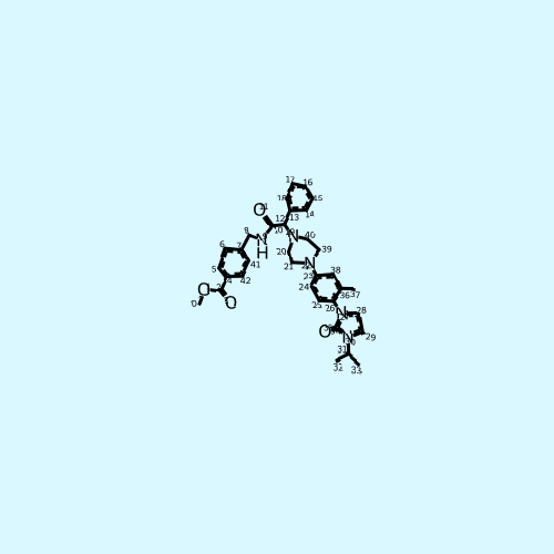 COC(=O)c1ccc(CNC(=O)C(c2ccccc2)N2CCN(c3ccc(-n4ccn(C(C)C)c4=O)c(C)c3)CC2)cc1